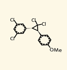 COc1ccc([C@H]2[C@H](c3cc(Cl)cc(Cl)c3)C2(Cl)Cl)cc1